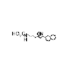 O=C(O)NCCCCc1cc(-c2ccc3ccccc3c2)no1